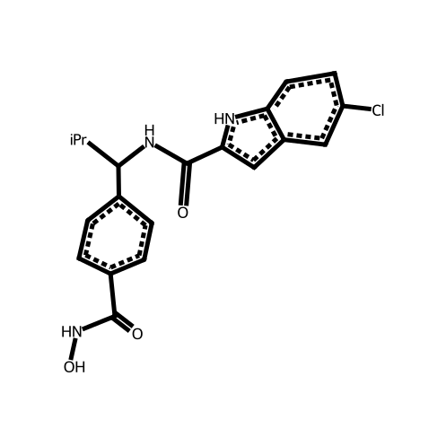 CC(C)C(NC(=O)c1cc2cc(Cl)ccc2[nH]1)c1ccc(C(=O)NO)cc1